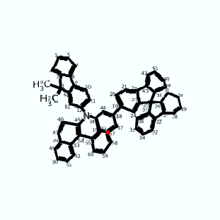 CC1(C)c2ccccc2-c2ccc(N(c3cccc(-c4ccc5c(c4)C4(C6=C(C=CCC6)c6ccccc64)c4ccccc4-5)c3)c3ccc4ccccc4c3-c3ccccc3)cc21